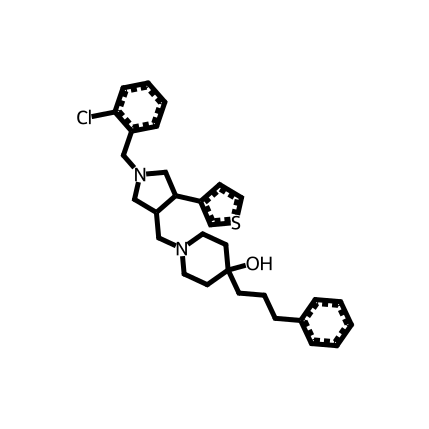 OC1(CCCc2ccccc2)CCN(CC2CN(Cc3ccccc3Cl)CC2c2ccsc2)CC1